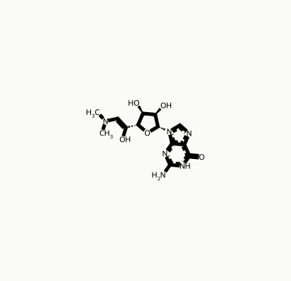 CN(C)C=C(O)[C@H]1O[C@@H](n2cnc3c(=O)[nH]c(N)nc32)[C@H](O)[C@@H]1O